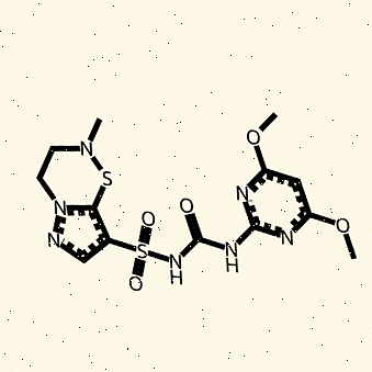 COc1cc(OC)nc(NC(=O)NS(=O)(=O)c2cnn3c2SN(C)CC3)n1